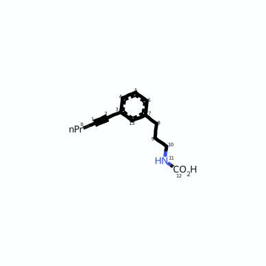 CCCC#Cc1cccc(CCCNC(=O)O)c1